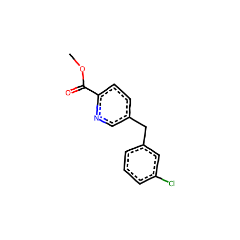 COC(=O)c1ccc(Cc2cccc(Cl)c2)cn1